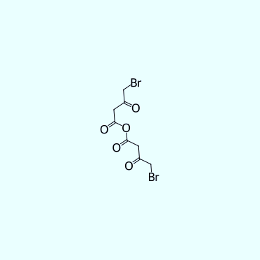 O=C(CBr)CC(=O)OC(=O)CC(=O)CBr